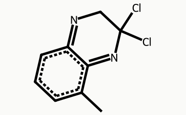 Cc1cccc2c1=NC(Cl)(Cl)CN=2